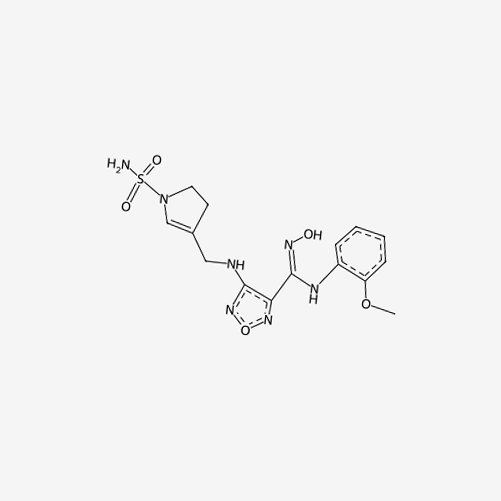 COc1ccccc1N/C(=N\O)c1nonc1NCC1=CN(S(N)(=O)=O)CC1